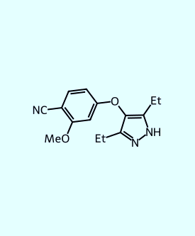 CCc1n[nH]c(CC)c1Oc1ccc(C#N)c(OC)c1